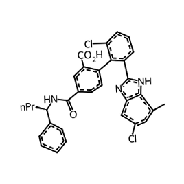 CCC[C@@H](NC(=O)c1ccc(-c2c(Cl)cccc2-c2nc3cc(Cl)cc(C)c3[nH]2)c(C(=O)O)c1)c1ccccc1